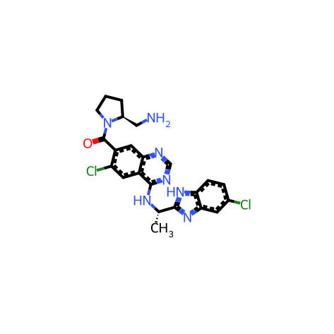 C[C@H](Nc1ncnc2cc(C(=O)N3CCC[C@H]3CN)c(Cl)cc12)c1nc2cc(Cl)ccc2[nH]1